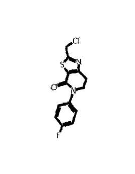 O=C1c2sc(CCl)nc2CCN1c1ccc(F)cc1